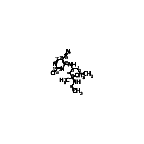 CCCC(CC(C)(C)NCC)Nc1nc(Cl)ncc1C#N